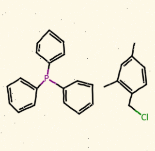 Cc1ccc(CCl)c(C)c1.c1ccc(P(c2ccccc2)c2ccccc2)cc1